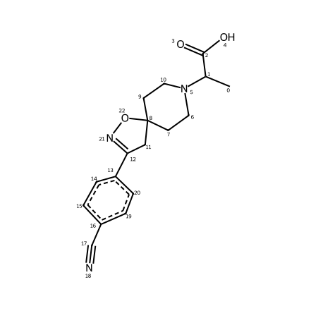 CC(C(=O)O)N1CCC2(CC1)CC(c1ccc(C#N)cc1)=NO2